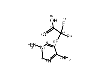 NC1=NCN(N)C=C1.O=C(O)C(F)(F)F